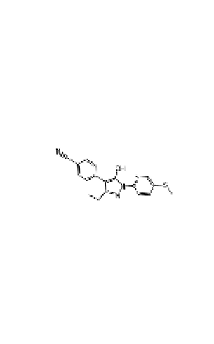 CCc1nn(-c2ccc(SC)cn2)c(O)c1-c1ccc(C#N)cc1